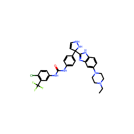 CCN1CCN(c2ccc3[nH]c(C4(c5ccc(NC(=O)Nc6ccc(Cl)c(C(F)(F)F)c6)cc5)C=CNN4)nc3c2)CC1